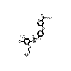 CNC(=O)c1cc(Oc2ccc(NC(=O)Nc3cc(C(F)(F)F)c(Cl)cc3OCCN)cc2)ccn1